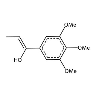 CC=C(O)c1cc(OC)c(OC)c(OC)c1